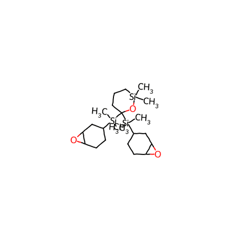 C[Si]1(C)CCCC([Si](C)(C)C2CCC3OC3C2)([Si](C)(C)C2CCC3OC3C2)O1